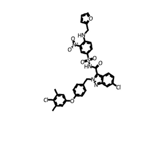 Cc1cc(Oc2ccc(Cn3nc4cc(Cl)ccc4c3C(=O)NS(=O)(=O)c3ccc(NCc4ccco4)c([N+](=O)[O-])c3)cc2)cc(C)c1Cl